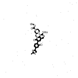 CSc1ncc2cc(-c3ccc(-c4csc(C)n4)cc3Cl)c(=O)n(C[C@H]3CN(C(=O)OC(C)(C)C)CCO3)c2n1